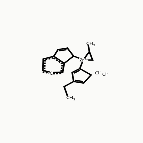 CCC1=CC[C]([Zr+2]2([CH]3C=Cc4ccccc43)[CH2][CH]2C)=C1.[Cl-].[Cl-]